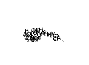 CC(=O)N1CCN(CCOc2cc(OC(C)C)c3c(Nc4c(Cl)ccc5c4OCO5)ncnc3c2)CC1